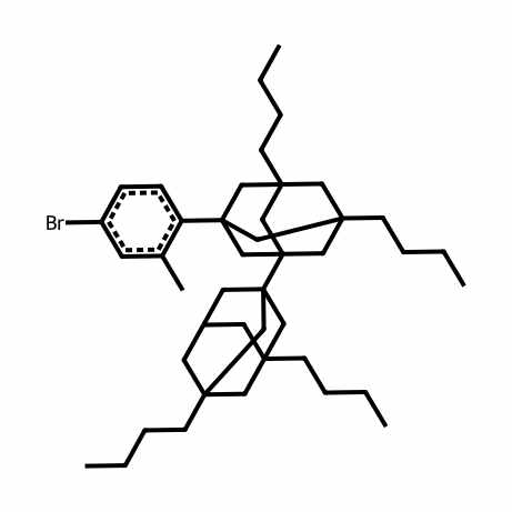 CCCCC12CC3CC(CCCC)(C1)CC(C14CC5(CCCC)CC(CCCC)(CC(c6ccc(Br)cc6C)(C5)C1)C4)(C3)C2